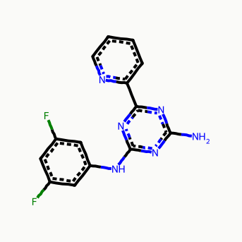 Nc1nc(Nc2cc(F)cc(F)c2)nc(-c2ccccn2)n1